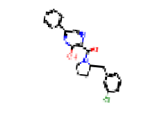 O=C(c1ncc(-c2ccccc2)nc1O)N1CCCC1Cc1cccc(Cl)c1